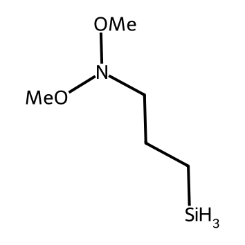 CON(CCC[SiH3])OC